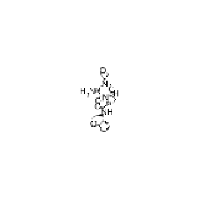 N[C@H]1CN(C2COC2)CC[C@H]2CC[C@@H](C(=O)N[C@@H]3CCOc4ccccc43)N2C1=O